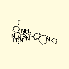 NC1=NC(c2ccc3c(c2)CCCN(C2CCCC2)CC3)=CS1(N)c1ncnc2ccc(F)cc12